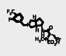 CC(C)C[C@@H](C(=O)N[C@@H]1CC[C@H]2CN(Cc3ccc(C(F)(F)F)c(F)c3)C[C@H]21)N(C)C(=O)O